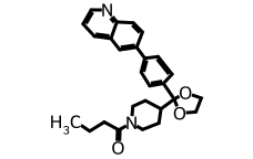 CCCC(=O)N1CCC(C2(c3ccc(-c4ccc5ncccc5c4)cc3)OCCO2)CC1